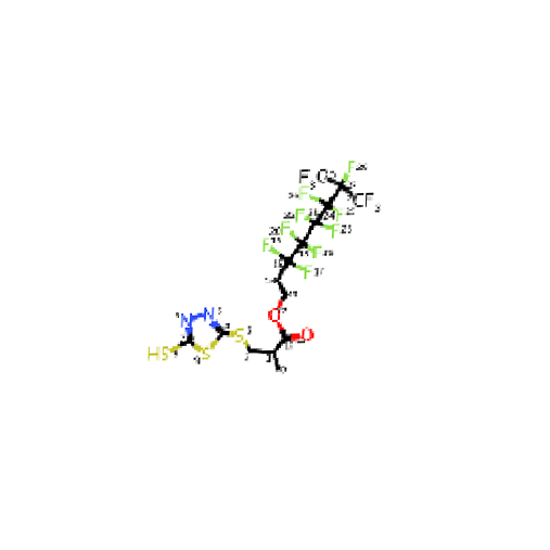 CC(CSc1nnc(S)s1)C(=O)OCCC(F)(F)C(F)(F)C(F)(F)C(F)(F)C(F)(C(F)(F)F)C(F)(F)F